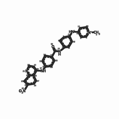 C[n+]1ccc(Nc2ccc(NC(=O)c3ccc(Nc4ccnc5cc([N+](=O)[O-])ccc45)cc3)cc2)cc1